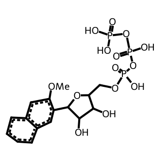 COc1cc2ccccc2cc1C1OC(COP(=O)(O)OP(=O)(O)OP(=O)(O)O)C(O)C1O